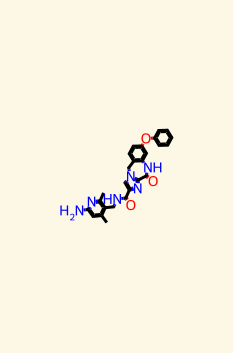 Cc1cc(N)nc(C)c1CNC(=O)c1cn2c(n1)C(=O)Nc1cc(Oc3ccccc3)ccc1C2